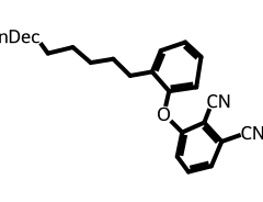 CCCCCCCCCCCCCCCc1ccccc1Oc1cccc(C#N)c1C#N